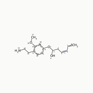 C=C/C=C\CC(O)Oc1ccc(CCN)c(OC)n1